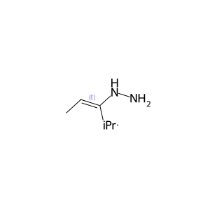 C/C=C(/NN)[C](C)C